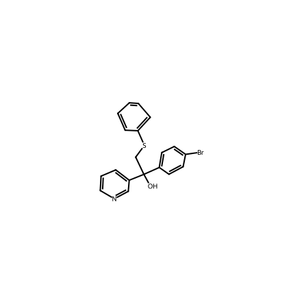 OC(CSc1ccccc1)(c1ccc(Br)cc1)c1cccnc1